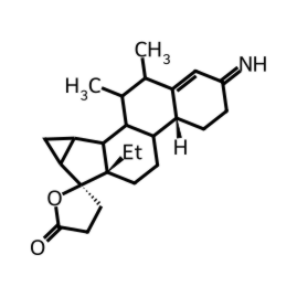 CC[C@]12CCC3C(C(C)C(C)C4=CC(=N)CC[C@@H]43)C1C1CC1[C@@]21CCC(=O)O1